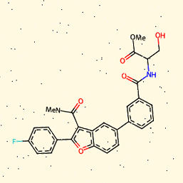 CNC(=O)c1c(-c2ccc(F)cc2)oc2ccc(-c3cccc(C(=O)NC(CO)C(=O)OC)c3)cc12